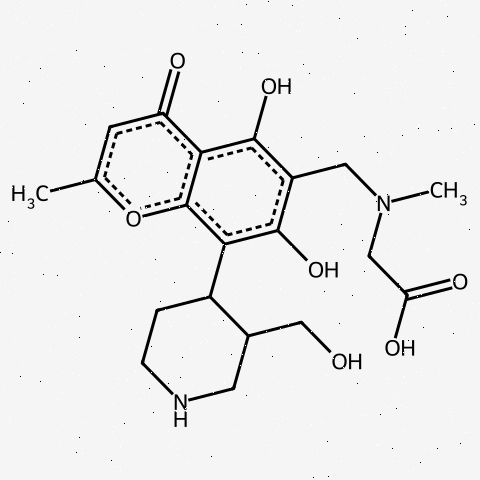 Cc1cc(=O)c2c(O)c(CN(C)CC(=O)O)c(O)c(C3CCNCC3CO)c2o1